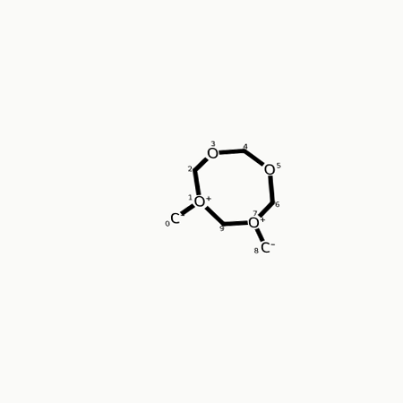 [CH2-][O+]1COCOC[O+]([CH2-])C1